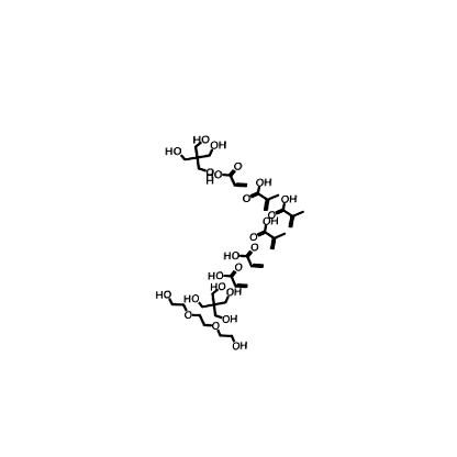 C=C(C)C(=O)O.C=C(C)C(=O)O.C=C(C)C(=O)O.C=CC(=O)O.C=CC(=O)O.C=CC(=O)O.OCC(CO)(CO)CO.OCC(CO)(CO)CO.OCCOCCOCCO